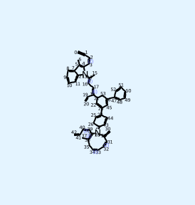 C#C/C=C\c1c(C)c2ccccc2n1/C(C)=C/C=C(\C=C)C1C=C(C2=CCC(N3C(=C)/C=C\C=C/C/C(C)=C3/C=C\C=C)C=C2)C=C(c2ccccc2)C1